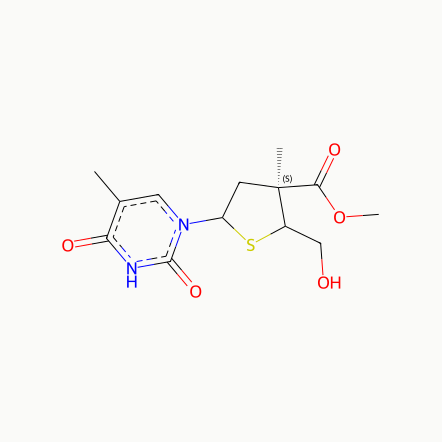 COC(=O)[C@]1(C)CC(n2cc(C)c(=O)[nH]c2=O)SC1CO